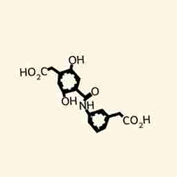 O=C(O)Cc1cccc(NC(=O)c2cc(O)c(CC(=O)O)cc2O)c1